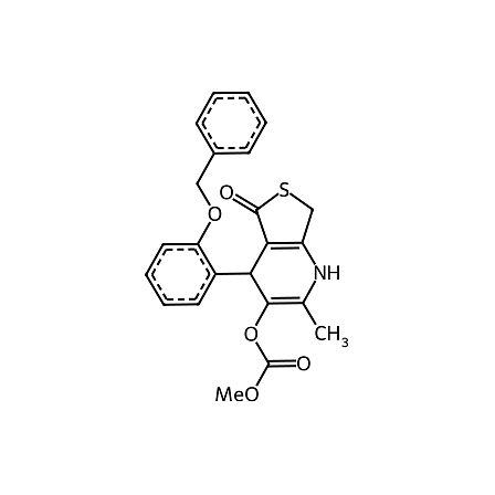 COC(=O)OC1=C(C)NC2=C(C(=O)SC2)C1c1ccccc1OCc1ccccc1